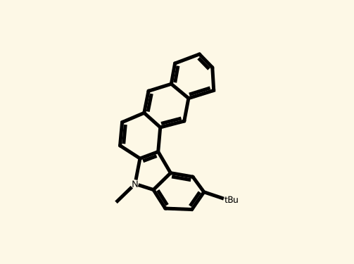 Cn1c2ccc(C(C)(C)C)cc2c2c3cc4ccccc4cc3ccc21